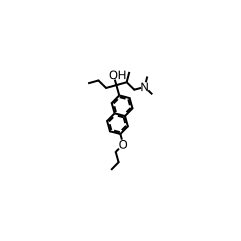 CCCOc1ccc2cc(C(O)(CCC)C(C)CN(C)C)ccc2c1